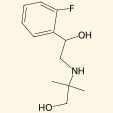 CC(C)(CO)NCC(O)c1ccccc1F